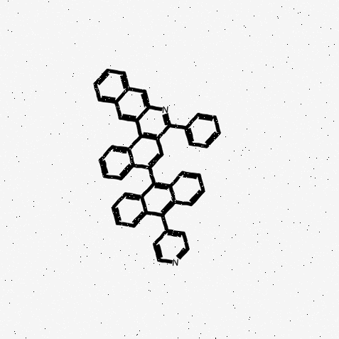 c1ccc(-c2nc3cc4ccccc4cc3c3c2cc(-c2c4ccccc4c(-c4ccncc4)c4ccccc24)c2ccccc23)cc1